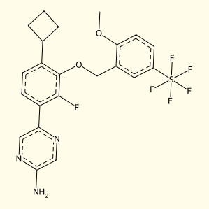 COc1ccc(S(F)(F)(F)(F)F)cc1COc1c(C2CCC2)ccc(-c2cnc(N)cn2)c1F